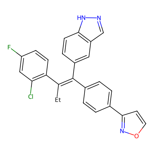 CC/C(=C(\c1ccc(-c2ccon2)cc1)c1ccc2[nH]ncc2c1)c1ccc(F)cc1Cl